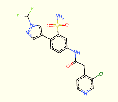 NS(=O)(=O)c1cc(NC(=O)Cc2ccncc2Cl)ccc1-c1cnn(C(F)F)c1